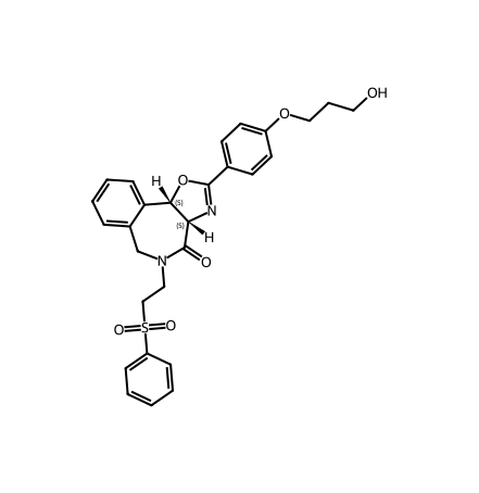 O=C1[C@H]2N=C(c3ccc(OCCCO)cc3)O[C@H]2c2ccccc2CN1CCS(=O)(=O)c1ccccc1